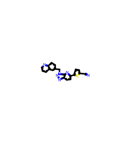 N#Cc1ccc(-c2ccc3nnn(Cc4ccc5ncccc5c4)c3n2)s1